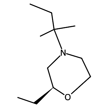 CC[C@H]1CN(C(C)(C)CC)CCO1